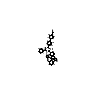 N#Cc1ccc(-c2ccc(C3NC(c4ccccc4)NC(c4ccc5c(c4)C4(c6ccccc6SC6C=CC=CC64)c4ccccc4-5)N3)cc2)cc1